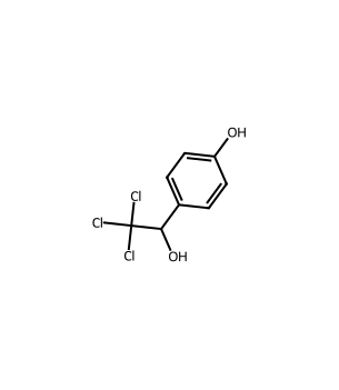 Oc1ccc(C(O)C(Cl)(Cl)Cl)cc1